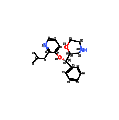 CC(C)Cc1ncccc1O[C@@H](c1ccccc1)[C@@H]1CNCCO1